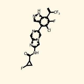 C=C(c1c(F)c(Cl)c(-c2cn3cc(NC(=O)C4CC4F)nc3cn2)c2cn[nH]c12)C(F)(F)F